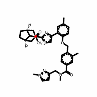 Cc1ccc(OCc2ccc(C(=O)N(C)Cc3ccn(C)n3)cc2C)c(-c2csc(N3C[C@H]4CC[C@@H](C3)C4C(=O)O)n2)c1